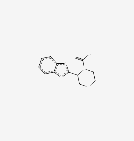 NC(=O)N1CCOCC1c1nc2ccccc2s1